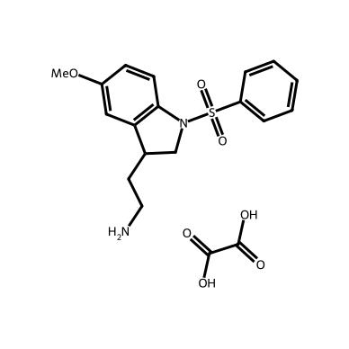 COc1ccc2c(c1)C(CCN)CN2S(=O)(=O)c1ccccc1.O=C(O)C(=O)O